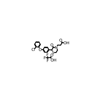 O=C(O)C(F)(F)F.O=C(O)CCN1CCSC(c2ccc(Oc3ccccc3Cl)cc2)C1=O